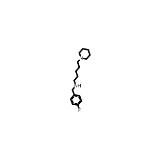 Fc1ccc(CNCCCCCN2CC[CH]CC2)cc1